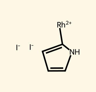 [I-].[I-].[Rh+2][c]1ccc[nH]1